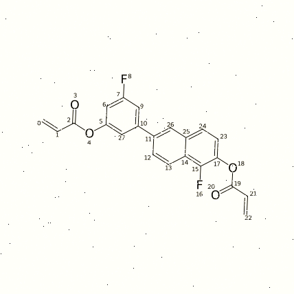 C=CC(=O)Oc1cc(F)cc(-c2ccc3c(F)c(OC(=O)C=C)ccc3c2)c1